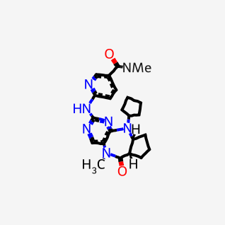 CNC(=O)c1ccc(Nc2ncc3c(n2)N(C2CCCC2)[C@@H]2CCC[C@@H]2C(=O)N3C)nc1